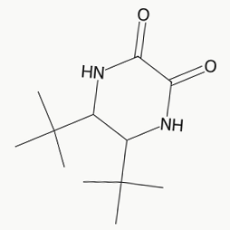 CC(C)(C)C1NC(=O)C(=O)NC1C(C)(C)C